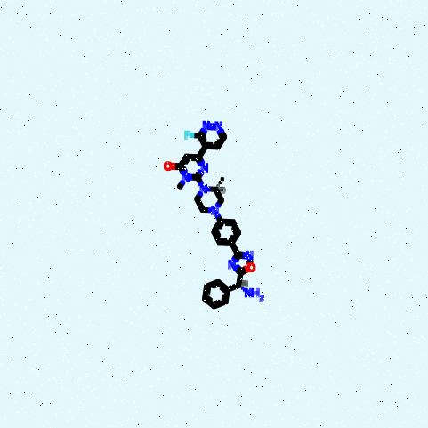 C[C@@H]1CN(c2ccc(-c3noc([C@H](N)c4ccccc4)n3)cc2)CCN1c1nc(-c2ccnnc2F)cc(=O)n1C